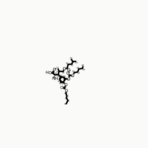 CCCCCOC(=O)Oc1ccc(C(C(C)COC(=O)CCC(C)C)[C@H](N)C(=O)O)cc1OC(=O)OCCCCC